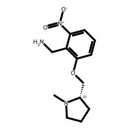 CN1CCC[C@H]1COc1cccc([N+](=O)[O-])c1CN